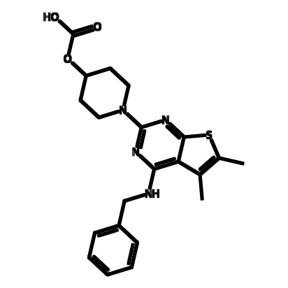 Cc1sc2nc(N3CCC(OC(=O)O)CC3)nc(NCc3ccccc3)c2c1C